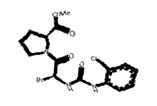 COC(=O)[C@@H]1CCCN1C(=O)[C@@H](NC(=O)Nc1ccccc1Cl)C(C)C